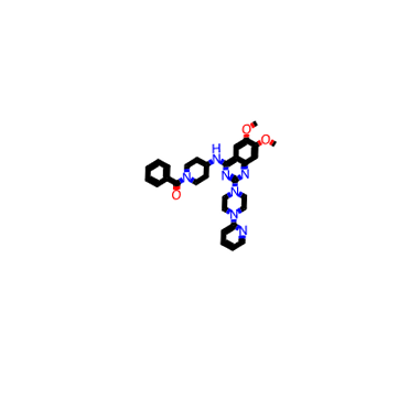 COc1cc2nc(N3CCN(c4ccccn4)CC3)nc(NC3CCN(C(=O)c4ccccc4)CC3)c2cc1OC